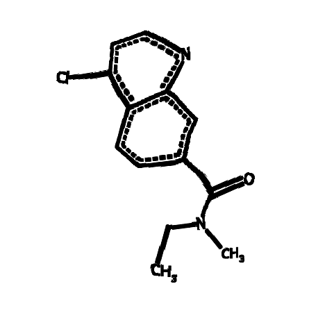 CCN(C)C(=O)c1ccc2c(Cl)ccnc2c1